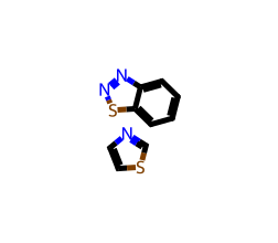 c1ccc2snnc2c1.c1cscn1